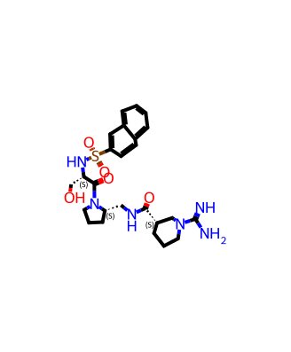 N=C(N)N1CCC[C@H](C(=O)NC[C@@H]2CCCN2C(=O)[C@H](CO)NS(=O)(=O)c2ccc3ccccc3c2)C1